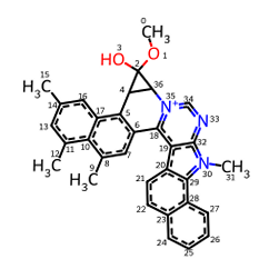 COC1(O)C2c3c(cc(C)c4c(C)cc(C)cc34)-c3c4c5ccc6ccccc6c5n(C)c4nc[n+]3C21